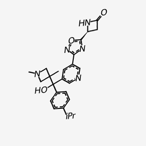 CC(C)c1ccc(C(O)(c2cncc(-c3noc([C@@H]4CC(=O)N4)n3)c2)C2(C)CN(C)C2)cc1